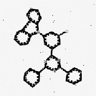 Clc1cc(-c2nc(-c3ccccc3)nc(-c3ccccc3)n2)cc(-n2c3ccccc3c3ccccc32)c1